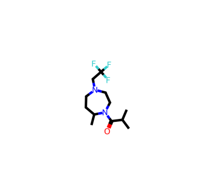 CC(C)C(=O)N1CCN(CC(F)(F)F)CCC1C